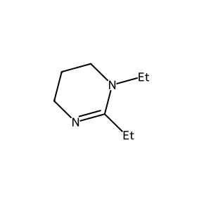 CCC1=NCCCN1CC